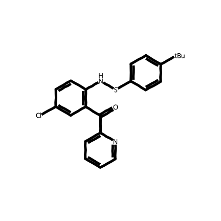 CC(C)(C)c1ccc(SNc2ccc(Cl)cc2C(=O)c2ccccn2)cc1